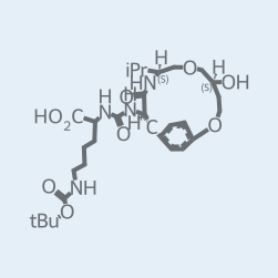 CC(C)[C@H]1COC[C@@H](O)CCOc2ccc(cc2)C[C@@H](NC(=O)NC(CCCCNC(=O)OC(C)(C)C)C(=O)O)C(=O)N1